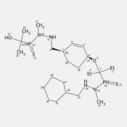 CCC(CC)(O[C@@H]1C=C[C@H](CNN(C)[PH](=S)C(C)(C)O)CC1)[PH](=S)N(C)NCC1CCCCC1